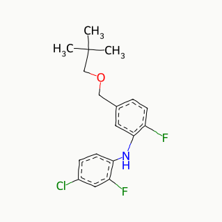 CC(C)(C)COCc1ccc(F)c(Nc2ccc(Cl)cc2F)c1